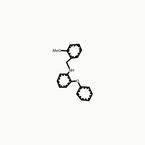 COc1ccccc1CNc1ccccc1Oc1ccccc1